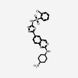 NC1CCC(Nc2ncc3cc(-c4nnc(NS(=O)(=O)c5ccccc5Cl)s4)ccc3n2)CC1